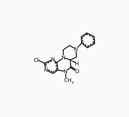 CN1C(=O)[C@H]2CN(c3ccccc3)CCN2c2nc(Cl)ncc21